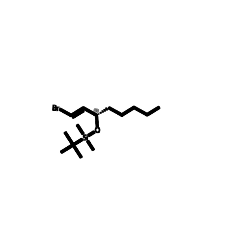 CCCCC[C@@H](C=CBr)O[Si](C)(C)C(C)(C)C